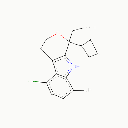 Cc1ccc(Cl)c2c3c([nH]c12)C(CC(=O)O)(C1CCC1)OCC3